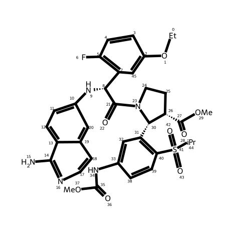 CCOc1ccc(F)c([C@@H](Nc2ccc3c(N)nccc3c2)C(=O)N2CC[C@H](C(=O)OC)[C@@H]2c2cc(NC(=O)OC)ccc2S(=O)(=O)C(C)C)c1